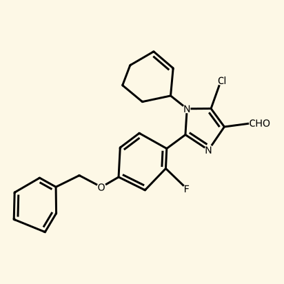 O=Cc1nc(-c2ccc(OCc3ccccc3)cc2F)n(C2C=CCCC2)c1Cl